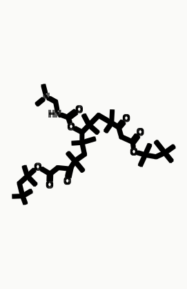 CN(C)CNC(=O)OC(C(C)(C)CC(C)(C)C(=O)CC(=O)OC(C)(C)CC(C)(C)C)C(C)(C)CC(C)(C)C(=O)CC(=O)OC(C)(C)CC(C)(C)C